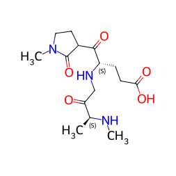 CN[C@@H](C)C(=O)CN[C@@H](CCC(=O)O)C(=O)C1CCN(C)C1=O